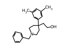 Cc1cc(C)cc(C2(CCO)CCN(Cc3ccccc3)CC2)c1